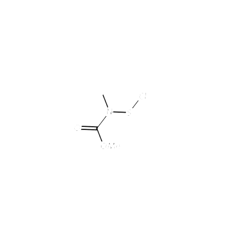 COC(=O)N(C)SCl